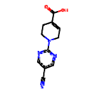 N#Cc1cnc(N2CC=C(C(=O)O)CC2)nc1